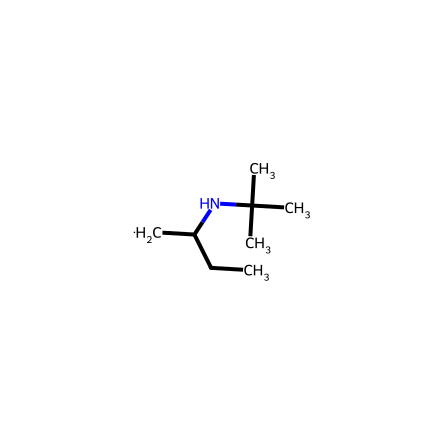 [CH2]C(CC)NC(C)(C)C